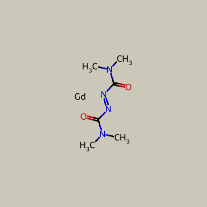 CN(C)C(=O)N=NC(=O)N(C)C.[Gd]